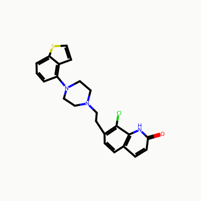 O=c1ccc2ccc(CCN3CCN(c4cccc5sccc45)CC3)c(Cl)c2[nH]1